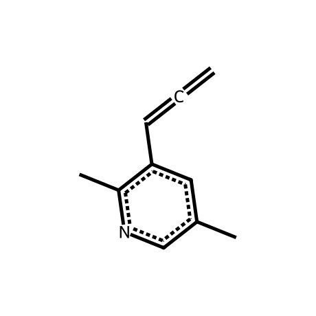 C=C=Cc1cc(C)cnc1C